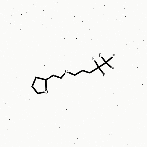 FC(F)(F)C(F)(F)CCCOCCC1CCCO1